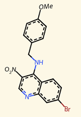 COc1ccc(CNc2c([N+](=O)[O-])cnc3cc(Br)ccc23)cc1